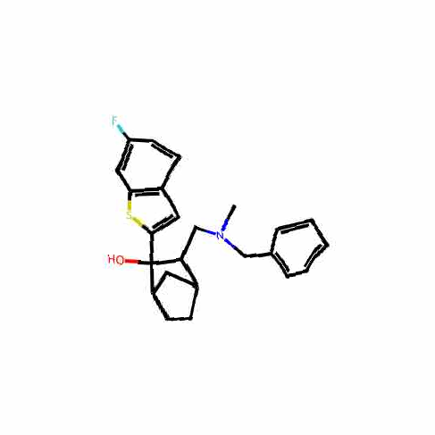 CN(Cc1ccccc1)CC1C2CCC(C2)C1(O)c1cc2ccc(F)cc2s1